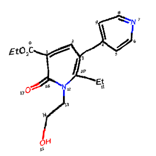 CCOC(=O)c1cc(-c2ccncc2)c(CC)n(CCO)c1=O